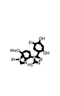 CCc1cc(-c2nnc(S)n2-c2ccc(OC)c3c2ncn3C(C)C)c(O)cc1O